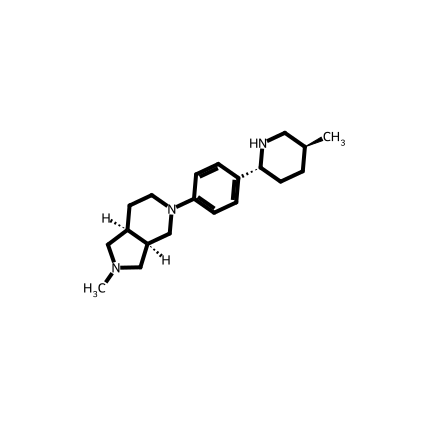 C[C@H]1CC[C@H](c2ccc(N3CC[C@@H]4CN(C)C[C@@H]4C3)cc2)NC1